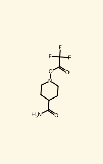 NC(=O)C1CCN(OC(=O)C(F)(F)F)CC1